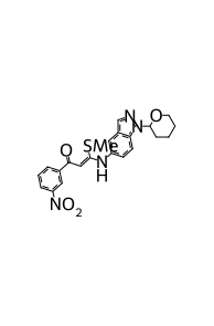 CS/C(=C\C(=O)c1cccc([N+](=O)[O-])c1)Nc1ccc2c(cnn2C2CCCCO2)c1